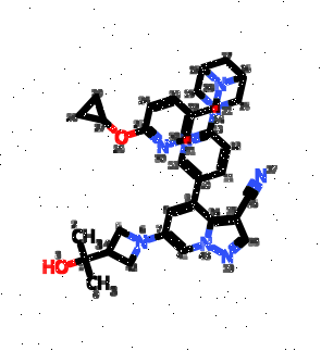 CC(C)(O)C1CN(c2cc(-c3ccc(N4CC5CC(C4)N5Cc4ccc(OC5CC5)nc4)nc3)c3c(C#N)cnn3c2)C1